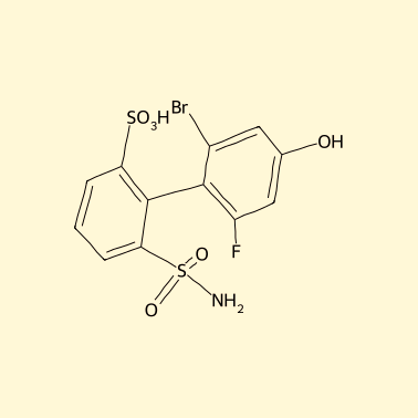 NS(=O)(=O)c1cccc(S(=O)(=O)O)c1-c1c(F)cc(O)cc1Br